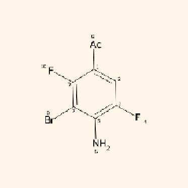 CC(=O)c1cc(F)c(N)c(Br)c1F